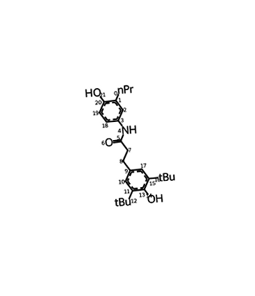 CCCc1cc(NC(=O)CCc2cc(C(C)(C)C)c(O)c(C(C)(C)C)c2)ccc1O